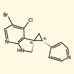 Clc1c(Br)cnc2c1[C@@]1(CN2)C[C@@H]1c1ccncc1